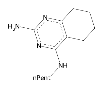 CCCCCNc1nc(N)nc2c1CCCC2